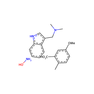 CN(C)Cc1c[nH]c2ccccc12.COc1ccc(C)c(C(=O)O)c1.NO